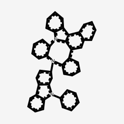 c1ccc(-n2c3ccccc3c3ccc(-n4c5ccccc5c5cc6ccccc6c6c7ccccc7n(c7ccccc74)c56)cc32)cc1